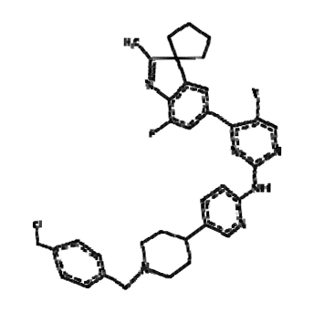 CC1=Nc2c(F)cc(-c3nc(Nc4ccc(C5CCN(Cc6ccc(CCl)cc6)CC5)cn4)ncc3F)cc2C12CCCC2